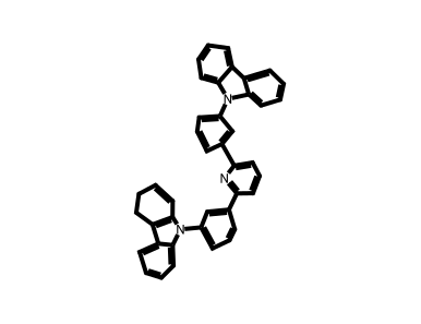 C1=Cc2c(c3ccccc3n2-c2cccc(-c3cccc(-c4cccc(-n5c6ccccc6c6ccccc65)c4)n3)c2)CC1